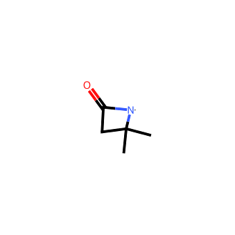 CC1(C)CC(=O)[N]1